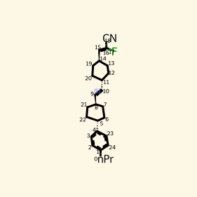 CCCc1ccc([C@H]2CC[C@H](/C=C/[C@H]3CC[C@H](C=C(F)C#N)CC3)CC2)cc1